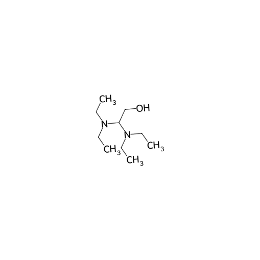 CCN(CC)C(CO)N(CC)CC